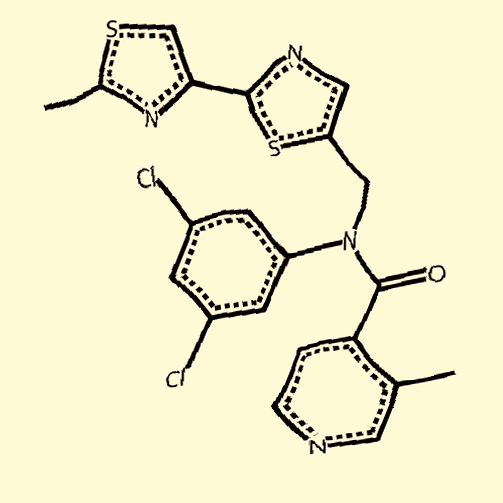 Cc1nc(-c2ncc(CN(C(=O)c3ccncc3C)c3cc(Cl)cc(Cl)c3)s2)cs1